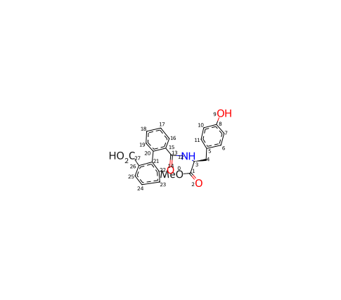 COC(=O)[C@H](Cc1ccc(O)cc1)NC(=O)c1ccccc1-c1ccccc1C(=O)O